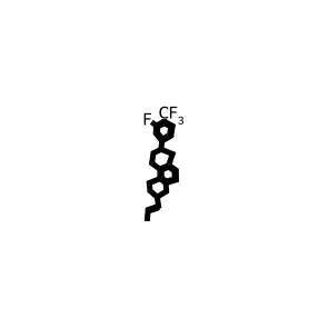 CC=CC1CCc2c(ccc3c2CCC(c2ccc(C(F)(F)F)c(F)c2)C3)C1